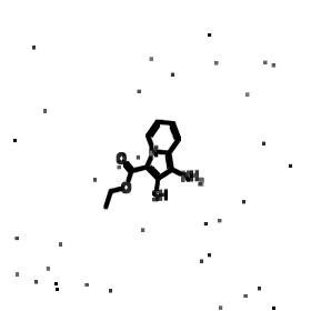 CCOC(=O)c1c(S)c(N)c2ccccn12